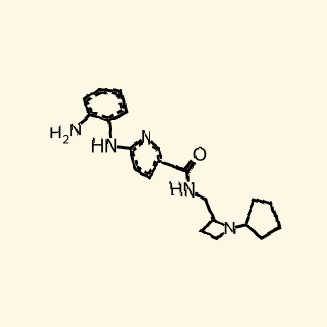 Nc1ccccc1Nc1ccc(C(=O)NCC2CCN2C2CCCC2)cn1